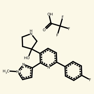 Cn1ccc(-c2nc(-c3ccc(F)cc3)ccc2C2(O)CCNC2)n1.O=C(O)C(F)(F)F